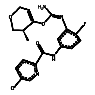 C[C@H]1COCC=C1O/C(N)=N\c1cc(NC(=O)c2ccc(Cl)cn2)ccc1F